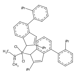 CC(C)C1=Cc2c(-c3ccccc3C(C)C)cccc2[CH]1[Zr]([Cl])([Cl])([CH]1C(C(C)C)=Cc2c(-c3ccccc3C(C)C)cccc21)[SiH](C)C